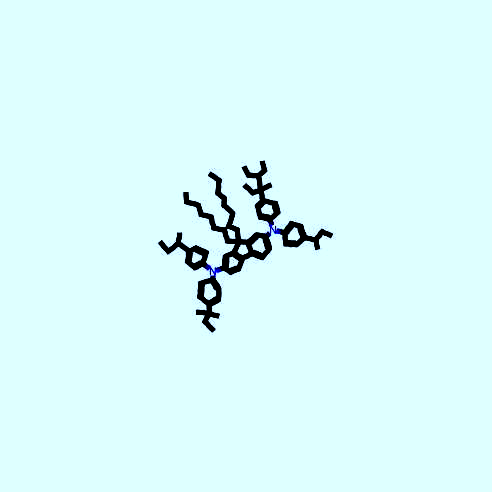 CCCCCCCCC1(CCCCCCCC)c2cc(N(c3ccc(C(C)CC)cc3)c3ccc(C(C)(C)CC)cc3)ccc2-c2ccc(N(c3ccc(C(C)CC)cc3)c3ccc(C(C)(CC)C(CC)CC)cc3)cc21